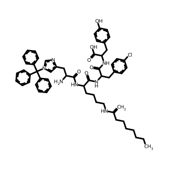 C=C(CCCCCCC)NCCCCC(NC(=O)C(N)Cc1cn(C(c2ccccc2)(c2ccccc2)c2ccccc2)cn1)C(=O)NC(Cc1ccc(Cl)cc1)C(=O)NC(Cc1ccc(O)cc1)C(=O)O